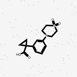 O=C(O)C1(c2cccc(N3CCS(=O)(=O)CC3)c2)CC1